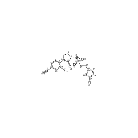 N#Cc1ccc(N2CC[C@H](NS(=O)(=O)/C=C/c3ccc(Cl)s3)C2=O)c(F)c1